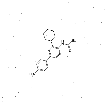 CCC(C)C(=O)Nc1ncc(-c2ccc(N)cc2)nc1C1CCCCC1